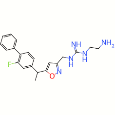 CC(c1ccc(-c2ccccc2)c(F)c1)c1cc(CNC(=N)NCCN)no1